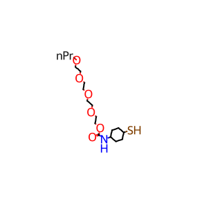 CCCOCCOCCOCCOCCOC(=O)NC1CCC(S)CC1